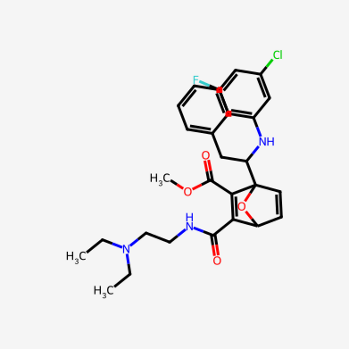 CCN(CC)CCNC(=O)C1=C(C(=O)OC)C2(C(Cc3ccccc3)Nc3cc(F)cc(Cl)c3)C=CC1O2